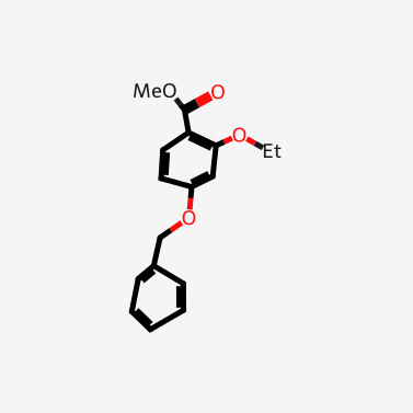 CCOc1cc(OCc2ccccc2)ccc1C(=O)OC